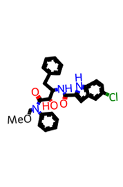 COCN(C(=O)C(O)C(Cc1ccccc1)NC(=O)c1cc2cc(Cl)ccc2[nH]1)c1ccccc1